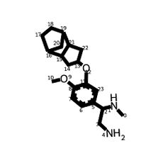 CNC(CN)c1ccc(OC)c(OC2CC3C4CCC(C4)C3C2)c1